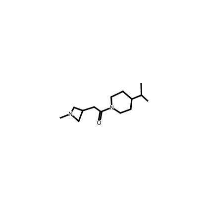 CC(C)C1CCN(C(=O)CC2CN(C)C2)CC1